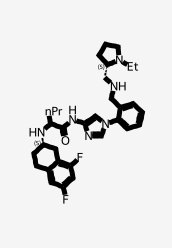 CCCC(N[C@H]1CCc2cc(F)cc(F)c2C1)C(=O)Nc1cn(-c2ccccc2CNC[C@@H]2CCCN2CC)cn1